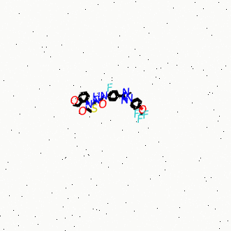 O=C(/N=C1\SCC(=O)N1c1cccc2c1CCO2)Nc1ccc(-c2ncn(-c3ccc(OC(F)(F)F)cc3)n2)cc1F